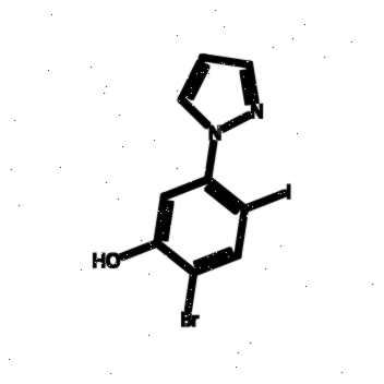 Oc1cc(-n2cccn2)c(I)cc1Br